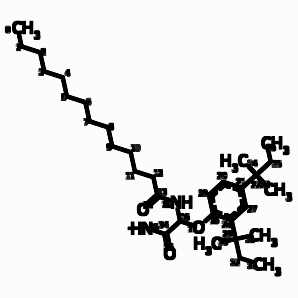 CCCCCCCCCCCCCC(=O)NC(Oc1ccc(C(C)(C)CC)cc1C(C)(C)CC)C([NH])=O